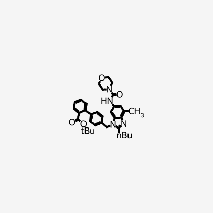 CCCCc1nc2c(C)cc(NC(=O)N3CCOCC3)cc2n1Cc1ccc(-c2ccccc2C(=O)OC(C)(C)C)cc1